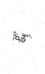 NC(=O)c1ccnc(Oc2ccc(N)c(F)c2)n1